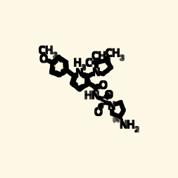 COc1ccc(-c2ccc(C(=O)NS(=O)(=O)N3CC[C@H](N)C3)c(N3CCC(C)C3(C)C)n2)cc1